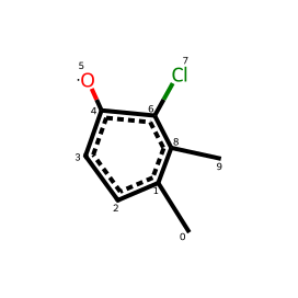 Cc1ccc([O])c(Cl)c1C